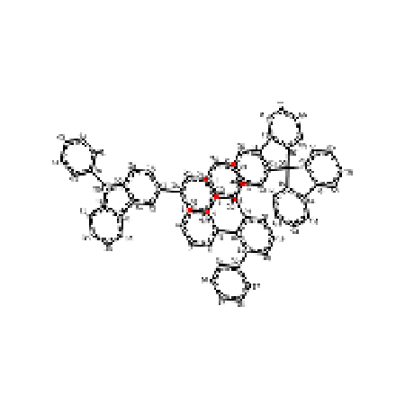 c1ccc(-c2ccccc2-c2c(-c3ccccc3)cccc2N(c2ccc(-c3ccc4c(c3)c3ccccc3n4-c3ccccc3)cc2)c2ccc3c(c2)C2(c4ccccc4-c4ccccc42)c2ccccc2-3)cc1